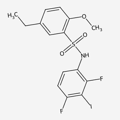 CCc1ccc(OC)c(S(=O)(=O)Nc2ccc(F)c(I)c2F)c1